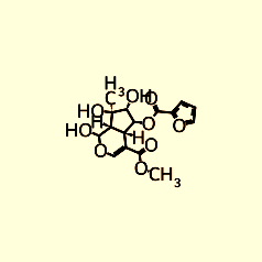 COC(=O)C1=COC(O)[C@H]2[C@@H]1[C@H](OC(=O)c1ccco1)[C@H](O)[C@]2(C)O